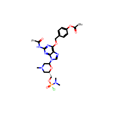 CC(C)C(=O)Nc1nc(OCc2ccc(OC(=O)C(C)(C)C)cc2)c2ncn(C3CN(C)C[C@@H](CO[P@@](=O)(Cl)N(C)C)O3)c2n1